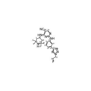 CC1(C)CC(Nc2nc(Nc3cccc(-c4nnn(CCF)n4)c3)ncc2C#N)CC(C)(C)N1